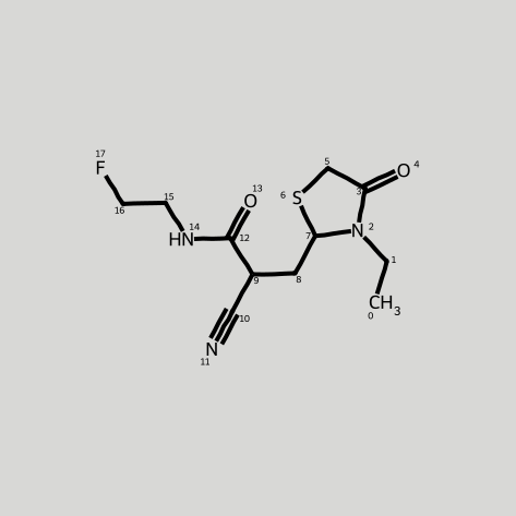 CCN1C(=O)CSC1CC(C#N)C(=O)NCCF